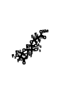 CCC(C)(OC(F)(F)C(F)(C(F)(F)F)C(C)(CC)OC(F)(F)C(F)(F)C(=O)OC)C(F)(C(=O)F)C(F)(F)F